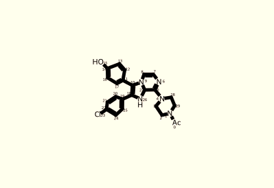 CC(=O)N1CCN(C2=NC=CN3C(c4ccc(O)cc4)=C(c4ccc(Cl)cc4)NC23)CC1